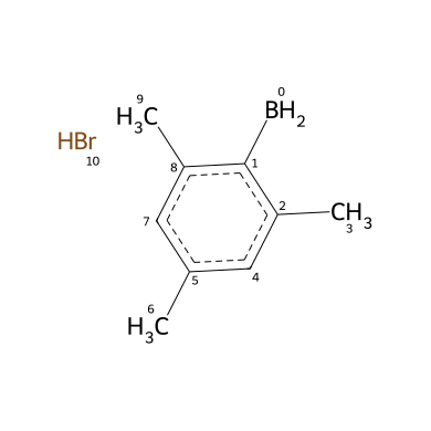 Bc1c(C)cc(C)cc1C.Br